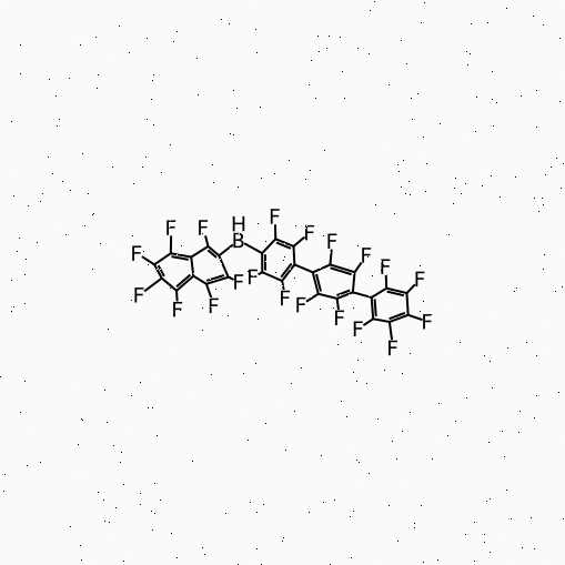 Fc1c(F)c(F)c(-c2c(F)c(F)c(-c3c(F)c(F)c(Bc4c(F)c(F)c5c(F)c(F)c(F)c(F)c5c4F)c(F)c3F)c(F)c2F)c(F)c1F